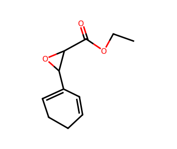 CCOC(=O)C1OC1C1=CCCC=C1